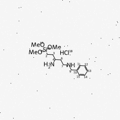 CO[Si](CCC(N)CCNCc1ccccc1)(OC)OC.Cl